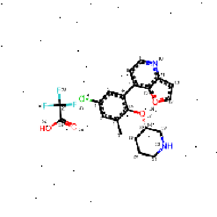 Cc1cc(Cl)cc(-c2ccnc3ccoc23)c1O[C@H]1CCCNC1.O=C(O)C(F)(F)F